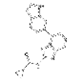 O=C(Nc1nc2cccc(-c3ccc4cc[nH]c4c3)n2n1)C1CC1